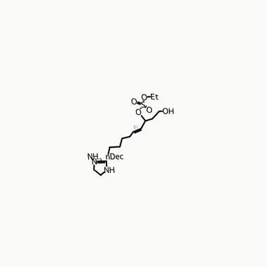 C1=NCCN1.CCCCCCCCCCCCCC/C=C/C(CCO)OS(=O)(=O)OCC.N